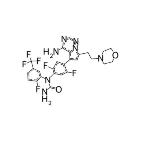 NC(=O)N(c1cc(C(F)(F)F)ccc1F)c1cc(F)c(-c2cc(CCN3CCOCC3)n3ncnc(N)c23)cc1F